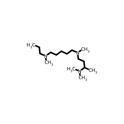 CCCN(C)CCCCCN(C)CCC(C)N(C)C